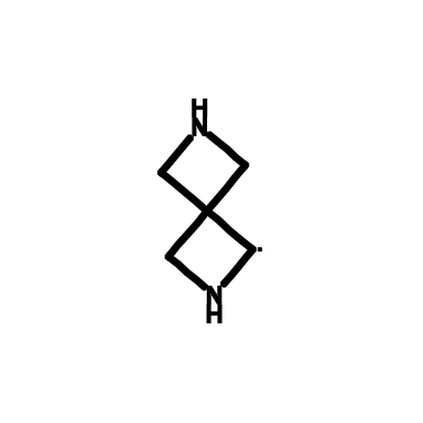 [CH]1NCC12CNC2